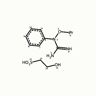 CC(C)ON(C(=N)N)c1ccccc1.O=S(=O)(O)CCO